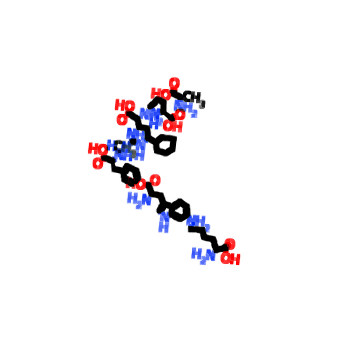 CN[C@@H](Cc1ccccc1)C(=O)O.C[C@H](N)C(=O)O.N=C(N)NC(CC[C@@H](N)C(=O)O)C1CCCCC1.NCCCC[C@H](N)C(=O)O.N[C@@H](Cc1c[nH]c2ccccc12)C(=O)O.O=C(O)[C@@H]1CCCN1